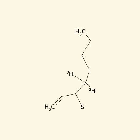 [2H]C([2H])(CCCC)C([S])C=C